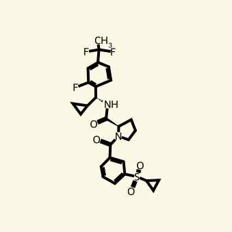 CC(F)(F)c1ccc([C@H](NC(=O)[C@H]2CCCN2C(=O)c2cccc(S(=O)(=O)C3CC3)c2)C2CC2)c(F)c1